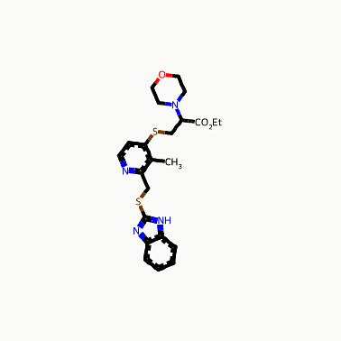 CCOC(=O)C(CSc1ccnc(CSc2nc3ccccc3[nH]2)c1C)N1CCOCC1